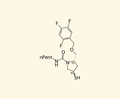 CCCCCNC(=O)N1C[C@H](S)C[C@H]1COCc1cc(F)c(F)cc1F